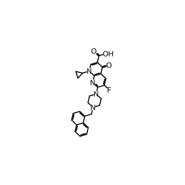 O=C(O)c1cn(C2CC2)c2nc(N3CCN(Cc4cccc5ccccc45)CC3)c(F)cc2c1=O